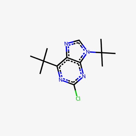 CC(C)(C)c1nc(Cl)nc2c1ncn2C(C)(C)C